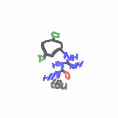 CC(C)(C)NC(=O)NC(=N)Nc1cc(F)cc(Cl)c1